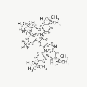 Cc1cc(-c2cc(-n3c4ccc(C(C)(C)C)cc4c4cc(C(C)(C)C)ccc43)c(C#N)cc2-n2c3ccc(C(C)(C)C)cc3c3cc(C(C)(C)C)ccc32)cc(C(F)(F)F)c1